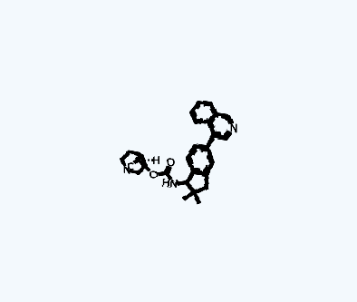 CC1(C)Cc2cc(-c3cncc4ccccc34)ccc2C1NC(=O)O[C@H]1CN2CCC1CC2